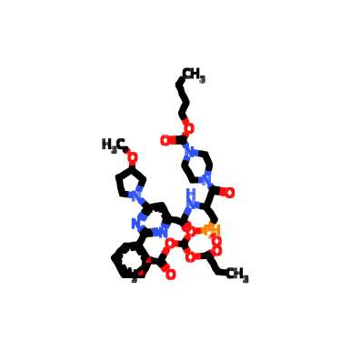 CCCCOC(=O)N1CCN(C(=O)C(C[PH](=O)OC(OC(=O)CC)OC(=O)CC)NC(=O)c2cc(N3CCC(OC)C3)nc(-c3ccccc3)n2)CC1